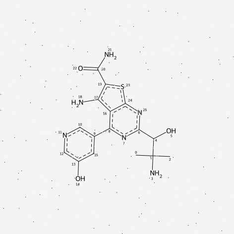 CC(C)(N)C(O)c1nc(-c2cncc(O)c2)c2c(N)c(C(N)=O)sc2n1